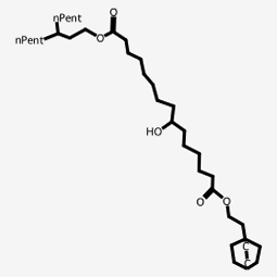 CCCCCC(CCCCC)CCOC(=O)CCCCCCCC(O)CCCCCC(=O)OCCC12CCC(CC1)CC2